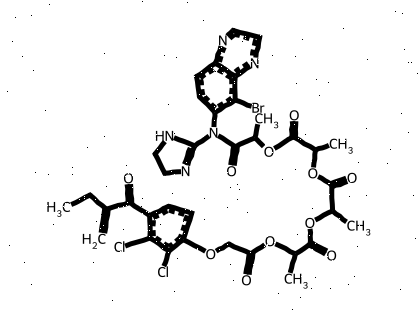 C=C(CC)C(=O)c1ccc(OCC(=O)OC(C)C(=O)OC(C)C(=O)OC(C)C(=O)OC(C)C(=O)N(C2=NCCN2)c2ccc3nccnc3c2Br)c(Cl)c1Cl